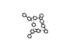 C1=Cc2c(c3ccccc3n2-c2ccc3c4cc(-c5ccccc5)ccc4n(-c4ccc(-n5c6ccc(-c7ccccc7)cc6c6ccc(-n7c8ccccc8c8ccccc87)cc65)cc4)c3c2)CC1